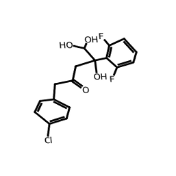 O=C(Cc1ccc(Cl)cc1)CC(O)(c1c(F)cccc1F)C(O)O